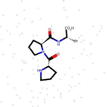 CC(C)[C@H](NC(=O)[C@@H]1CCCN1C(=O)[C@@H]1CCCN1)C(=O)O